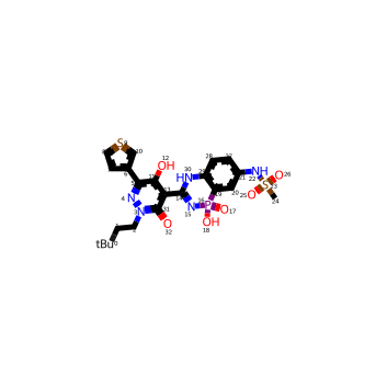 CC(C)(C)CCn1nc(-c2ccsc2)c(O)c(C2=NP(=O)(O)c3cc(NS(C)(=O)=O)ccc3N2)c1=O